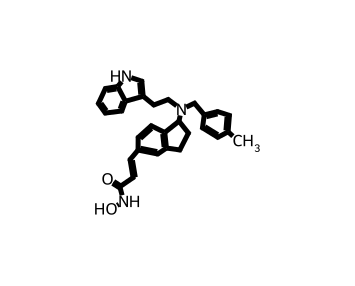 Cc1ccc(CN(CCc2c[nH]c3ccccc23)C2CCc3cc(C=CC(=O)NO)ccc32)cc1